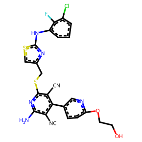 [C-]#[N+]c1c(N)nc(SCc2csc(Nc3cccc(Cl)c3F)n2)c(C#N)c1-c1ccc(OCCO)nc1